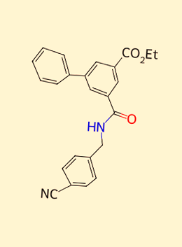 CCOC(=O)c1cc(C(=O)NCc2ccc(C#N)cc2)cc(-c2ccccc2)c1